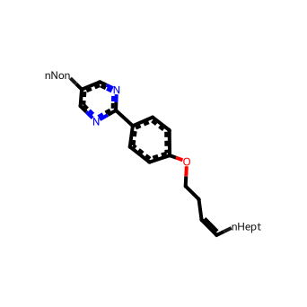 CCCCCCC/C=C\CCOc1ccc(-c2ncc(CCCCCCCCC)cn2)cc1